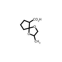 CC1COC2(CCCC2C(=O)O)O1